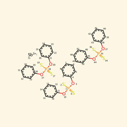 S=P([S-])(Oc1ccccc1)Oc1ccccc1.S=P([S-])(Oc1ccccc1)Oc1ccccc1.S=P([S-])(Oc1ccccc1)Oc1ccccc1.[Sb+3]